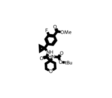 COC(=O)c1ccc(C2(NC(=O)C3(NC(=O)OC(C)(C)C)CCOCC3)CC2)cc1F